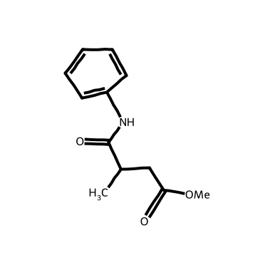 COC(=O)CC(C)C(=O)Nc1ccccc1